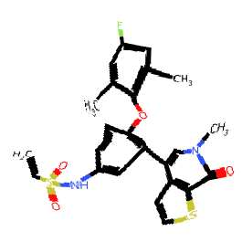 C=CS(=O)(=O)Nc1ccc(Oc2c(C)cc(F)cc2C)c(-c2cn(C)c(=O)c3sccc23)c1